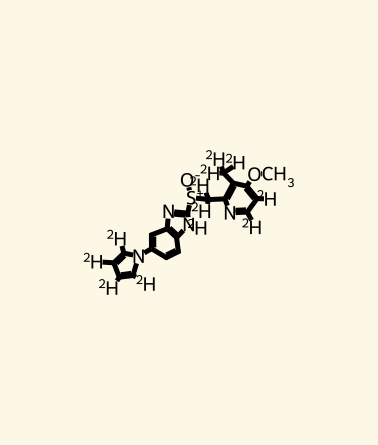 [2H]c1nc(C([2H])([2H])[S+]([O-])c2nc3cc(-n4c([2H])c([2H])c([2H])c4[2H])ccc3n2[2H])c(C([2H])([2H])[2H])c(OC)c1[2H]